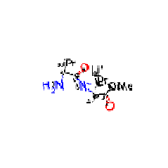 COC(=O)[C@@](C)([N-]C(=O)C(N)C(C)C)C(C)C.[Li+]